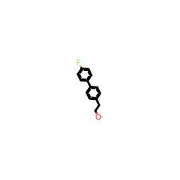 [O]CCc1ccc(-c2ccc(F)cc2)cc1